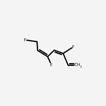 C=C/C(F)=C\C(F)=C/CF